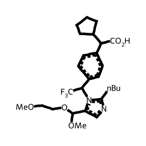 CCCCc1ncc(C(OC)OCCOC)n1C(c1ccc(C(C(=O)O)C2CCCC2)cc1)C(F)(F)F